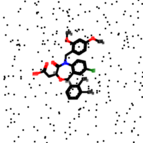 COc1ccc(CN2C(=O)[C@H](CC(=O)O)O[C@@H](c3cccc(C)c3C)c3cc(Cl)ccc32)c(OC)c1